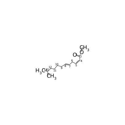 COC(=O)/C=C\C/C=C/CCCCC(C)C